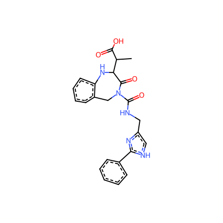 CC(C(=O)O)C1Nc2ccccc2CN(C(=O)NCc2c[nH]c(-c3ccccc3)n2)C1=O